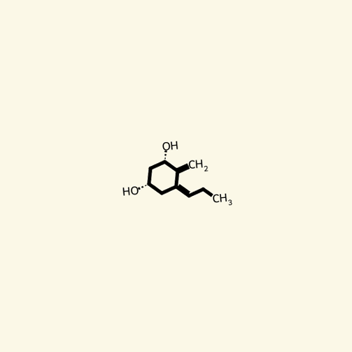 C=C1/C(=C\CC)C[C@H](O)C[C@@H]1O